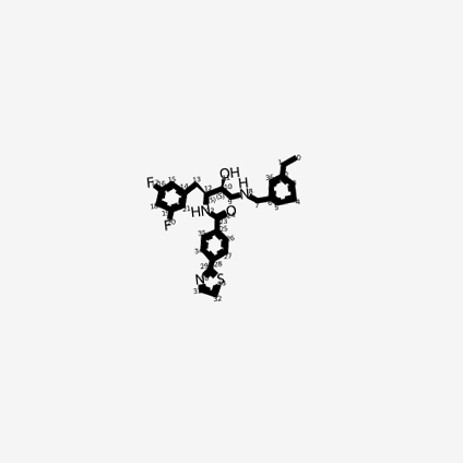 CCc1cccc(CNC[C@H](O)[C@H](Cc2cc(F)cc(F)c2)NC(=O)c2ccc(-c3nccs3)cc2)c1